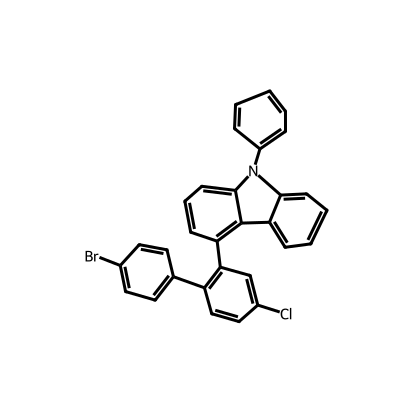 Clc1ccc(-c2ccc(Br)cc2)c(-c2cccc3c2c2ccccc2n3-c2ccccc2)c1